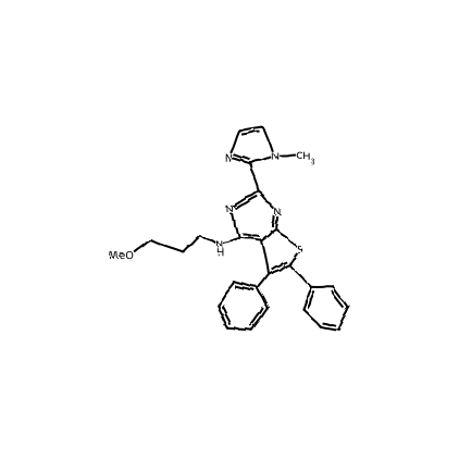 COCCCNc1nc(-c2nccn2C)nc2sc(-c3ccccc3)c(-c3ccccc3)c12